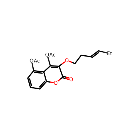 CCC=CCCOc1c(OC(C)=O)c2c(OC(C)=O)cccc2oc1=O